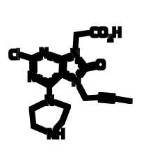 CC#CCn1c(=O)n(CC(=O)O)c2nc(Cl)nc(N3CCNCC3)c21